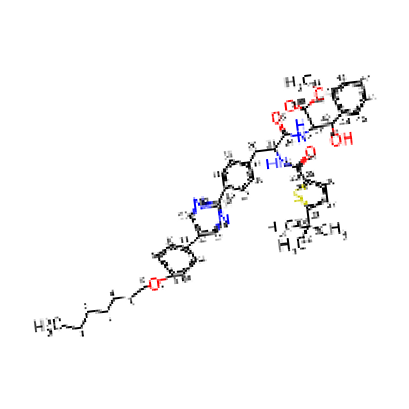 CCCCCCCOc1ccc(-c2cnc(-c3ccc(C[C@H](NC(=O)c4ccc(C(C)(C)C)s4)C(=O)NC(C(=O)OC)C(O)c4ccccc4)cc3)nc2)cc1